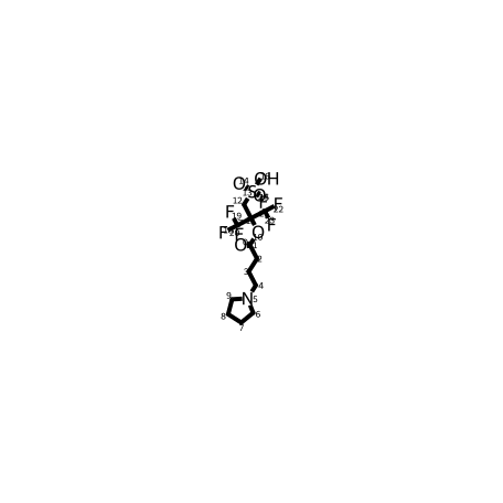 O=C(CCCN1CCCC1)OC(CS(=O)(=O)O)(C(F)(F)F)C(F)(F)F